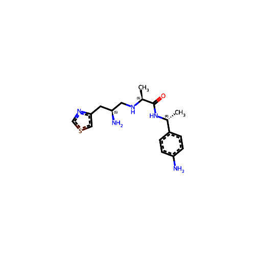 C[C@H](NC[C@@H](N)Cc1cscn1)C(=O)N[C@H](C)c1ccc(N)cc1